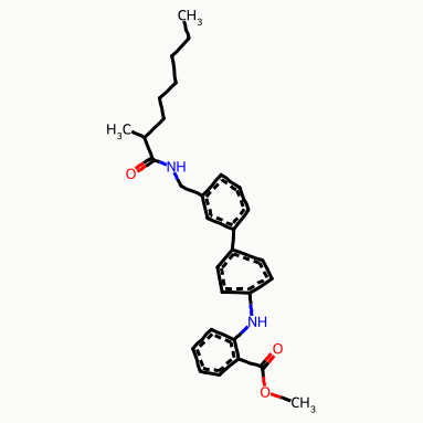 CCCCCCC(C)C(=O)NCc1cccc(-c2ccc(Nc3ccccc3C(=O)OC)cc2)c1